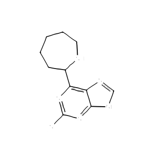 Nc1nc(C2CCCCCN2)c2nc[nH]c2n1